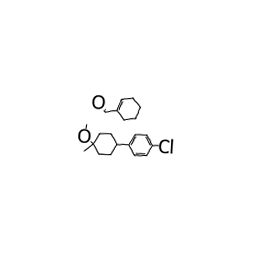 COC1(C)CCC(c2ccc(Cl)cc2)CC1.O=CC1=CCCCC1